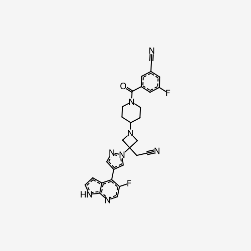 N#CCC1(n2cc(-c3c(F)cnc4[nH]ccc34)cn2)CN(C2CCN(C(=O)c3cc(F)cc(C#N)c3)CC2)C1